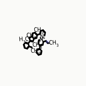 C=Cc1ccccc1C1=C(C)c2cc(-c3cccc[n+]3-[n+]3ccc(-c4ccccc4)cc3/C=C/C)c(C)cc2C1(C)C